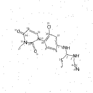 CSC(NC#N)Nc1ccc(-n2ccc(=O)n(C)c2=O)c(Cl)c1